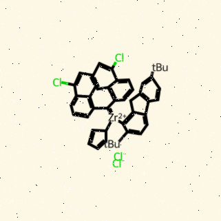 CC(C)(C)c1ccc2c(c1)Cc1c-2ccc(C(C)(C)C)[c]1[Zr+2](=[C](c1cccc2c(Cl)cccc12)c1cccc2c(Cl)cccc12)[CH]1C=CC=C1.[Cl-].[Cl-]